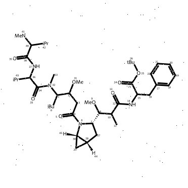 CCC(C)C(C(CC(=O)N1[C@H](C(OC)C(C)C(=O)NC(Cc2ccccc2)C(=O)OC(C)(C)C)C[C@@H]2C[C@@H]21)OC)N(C)C(=O)C(NC(=O)C(NC)C(C)C)C(C)C